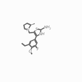 CCc1cc(C2=C(CN3CCC[C@H]3C)SC(N)N2)cc(F)c1OC